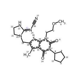 COCCn1c(=O)n(C2CCCC2)c(=O)c2c(C)c(CN3CCN/C3=N\C#N)sc21